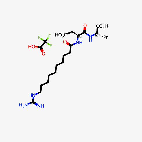 CC(C)[C@H](NC(=O)[C@H](CC(=O)O)NC(=O)CCCCCCCCCNC(=N)N)C(=O)O.O=C(O)C(F)(F)F